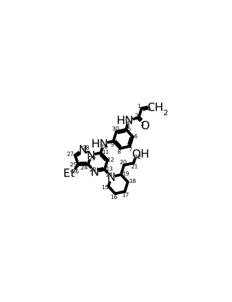 C=CC(=O)Nc1cccc(Nc2cc(N3CCCCC3CCO)nc3c(CC)cnn23)c1